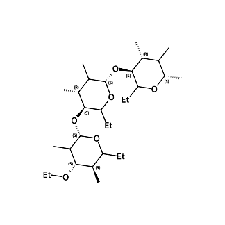 CCO[C@@H]1C(C)[C@H](O[C@@H]2C(CC)O[C@@H](O[C@@H]3C(CC)O[C@@H](C)C(C)[C@H]3C)C(C)[C@H]2C)OC(CC)[C@H]1C